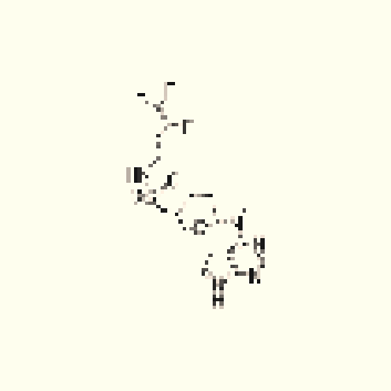 CN(c1ncnc2[nH]ccc12)[C@H]1CC[C@H](CS(=O)(=O)NCCC(F)=C(F)F)CC1